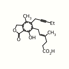 CCC#CCc1c(C)c2c(c(O)c1C/C=C(\C)CCC(=O)O)C(=O)OC2